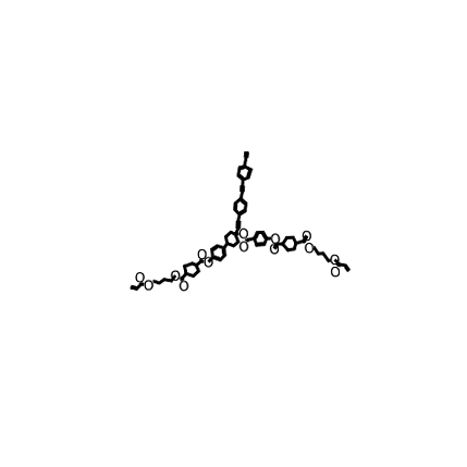 C#Cc1ccc(C#Cc2ccc(C#CC3(OC(=O)c4ccc(OC(=O)C5CCC(C(=O)OCCCCOC(=O)C=C)CC5)cc4)CCC(c4ccc(OC(=O)C5CCC(C(=O)OCCCCOC(=O)C=C)CC5)cc4)CC3)cc2)cc1